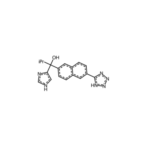 CC(C)C(O)(c1ccc2cc(-c3nnn[nH]3)ccc2c1)c1c[nH]cn1